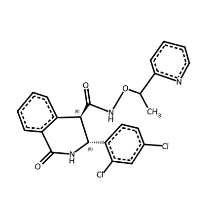 CC(ONC(=O)[C@@H]1c2ccccc2C(=O)N[C@H]1c1ccc(Cl)cc1Cl)c1ccccn1